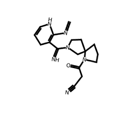 C=NC1=C(C(=N)N2CCC3(CCCN3C(=O)CC#N)C2)CC=CN1